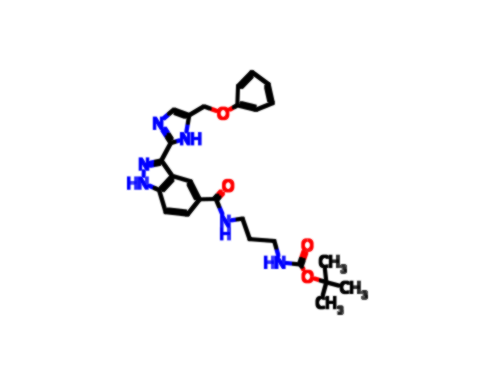 CC(C)(C)OC(=O)NCCCNC(=O)c1ccc2[nH]nc(-c3ncc(COc4ccccc4)[nH]3)c2c1